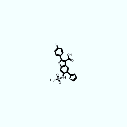 CS(=O)(=O)Nc1cc2oc(-c3ccc(F)cc3)c(C(=O)O)c2cc1-c1cccs1